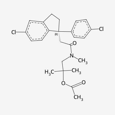 CC(=O)OC(C)(C)CN(C)C(=O)C[C@@]1(c2ccc(Cl)cc2)CCc2cc(Cl)ccc21